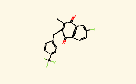 CC1=C(Cc2ccc(C(F)(F)F)cc2)C(=O)c2ccc(F)cc2C1=O